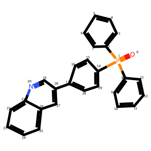 O=P(c1ccccc1)(c1ccccc1)c1ccc(-c2cnc3ccccc3c2)cc1